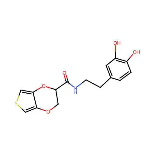 O=C(NCCc1ccc(O)c(O)c1)C1COc2cscc2O1